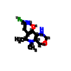 C=C1C2=C(ONC(F)=C2)C2=C(COCN2)N1C